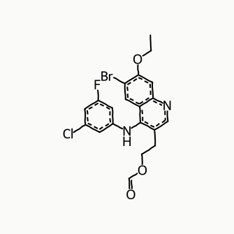 CCOc1cc2ncc(CCOC=O)c(Nc3cc(F)cc(Cl)c3)c2cc1Br